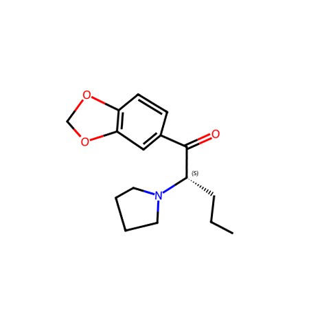 CCC[C@@H](C(=O)c1ccc2c(c1)OCO2)N1CCCC1